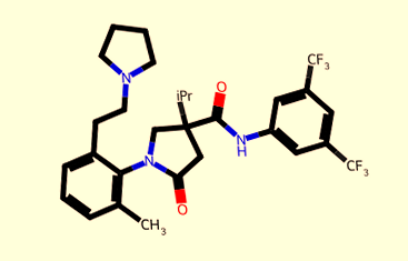 Cc1cccc(CCN2CCCC2)c1N1CC(C(=O)Nc2cc(C(F)(F)F)cc(C(F)(F)F)c2)(C(C)C)CC1=O